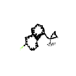 CNC1(c2cccc3cc(F)ccc23)CC1